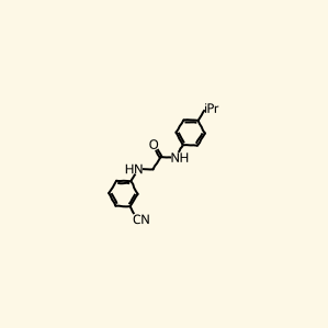 CC(C)c1ccc(NC(=O)CNc2cccc(C#N)c2)cc1